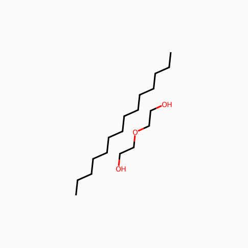 CCCCCCCCCCCCCC.OCCOCCO